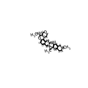 CNC(=O)C1COCCN1c1cccc2cnc(Nc3cc4c(nc3OC)CCN(C)C4)nc12